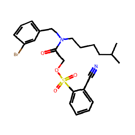 CC(C)CCCCN(Cc1cccc(Br)c1)C(=O)COS(=O)(=O)c1ccccc1C#N